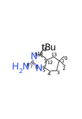 CC1(C)CCc2nc(N)nc(C(C)(C)C)c2C1